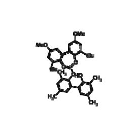 COc1cc(C(C)(C)C)c2op(Oc3c(C)cc(C)cc3-c3cc(C)cc(C)c3O)oc3c(C(C)(C)C)cc(OC)cc3c2c1